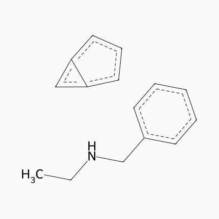 CCNCc1ccccc1.c1cc2cc-2c1